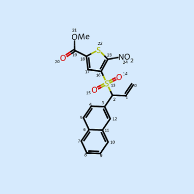 C=CC(c1ccc2ccccc2c1)S(=O)(=O)c1cc(C(=O)OC)sc1[N+](=O)[O-]